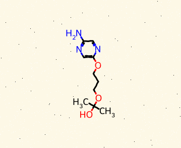 CC(C)(O)OCCCOc1cnc(N)cn1